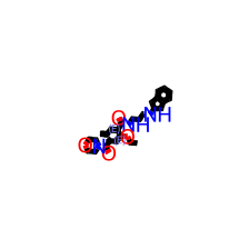 C=C/C=C(C(=O)NCCCNC1Cc2ccccc2C1)\C(=C/C(C)C(=O)N1CCOCC1)OCC